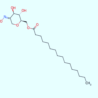 CCCCCCCCCCCCCCCC(=O)OC[C@H]1OC/C(=N\O)[C@@H](O)[C@@H]1O